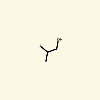 [CH2]C(Cl)CO